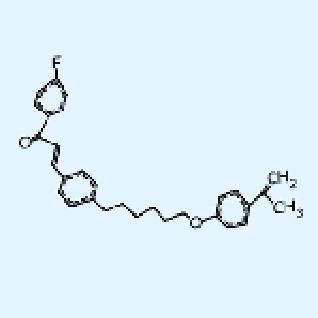 C=C(C)c1ccc(OCCCCCCc2ccc(C=CC(=O)c3ccc(F)cc3)cc2)cc1